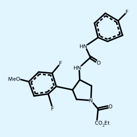 CCOC(=O)C(=O)N1CC(NC(=O)Nc2ccc(F)cc2)C(c2c(F)cc(OC)cc2F)C1